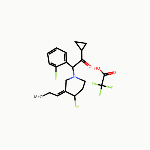 COCC=C1CN(C(C(=O)C2CC2)c2ccccc2F)CCC1S.O=C(O)C(F)(F)F